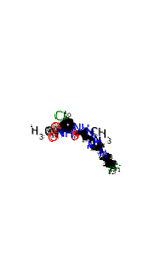 Cn1cc(C(=O)Nc2cc(Cl)cc(NS(C)(=O)=O)c2)cc1-c1ncc(N2CC3(C2)CC(F)(F)C3)cn1